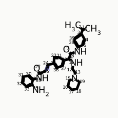 CC(C)c1ccc(NC(=O)C(NCCN2CCCCC2)c2ccc(/C=C/C(=O)Nc3ccccc3N)cc2)cc1